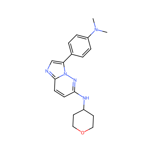 CN(C)c1ccc(-c2cnc3ccc(NC4CCOCC4)nn23)cc1